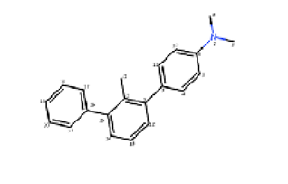 Cc1c(-c2ccc(N(C)C)cc2)[c]ccc1-c1ccccc1